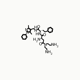 Cc1nn(-c2ccccc2)c(C)c1CNC(=O)[C@H](CCc1ccccc1)NC(=O)[C@@H](N)CC(=O)N(CCN)CCN